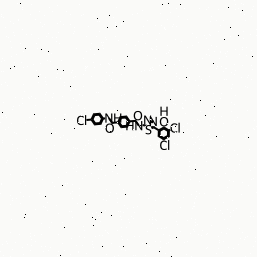 O=C(Nc1ccc(Cl)cc1)c1ccc(C(=O)Nc2nnc(-c3cc(Cl)cc(Cl)c3O)s2)cc1